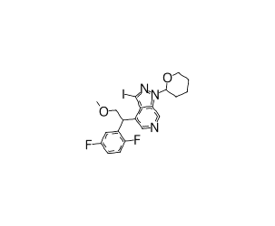 COCC(c1cc(F)ccc1F)c1cncc2c1c(I)nn2C1CCCCO1